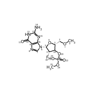 COC[C@H]1O[C@@H](n2cnc3c(=O)[nH]c(N)nc32)[C@@H](F)C1OP(=O)(O)OC